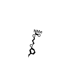 CNC(=O)OCCCOc1cccc(I)c1